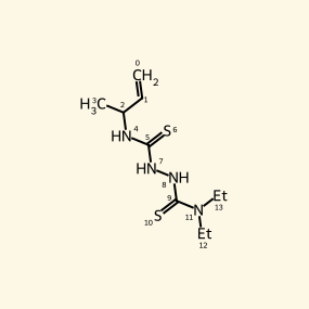 C=CC(C)NC(=S)NNC(=S)N(CC)CC